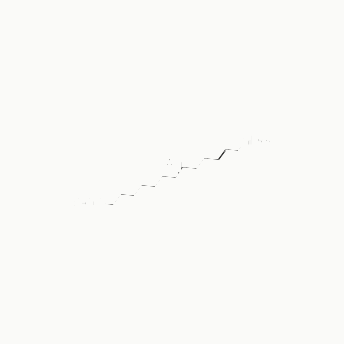 CCCCCCCCCCCC=CCCCCCCCCCCC(=O)[O-].[Ag+]